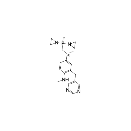 C=P(C[C@H](C)c1ccc(NC)c(Cc2cncnc2)c1)(N1CC1)N1CC1